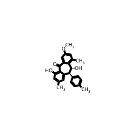 COc1cc(C)c2c(c1)C(=O)c1c(O)cc(C)cc1[C@H](c1ccc(C)cc1)[C@H]2O